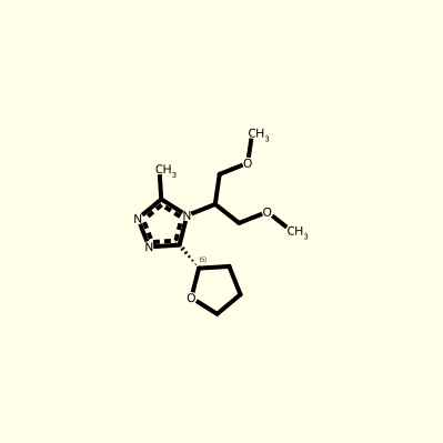 COCC(COC)n1c(C)nnc1[C@@H]1CCCO1